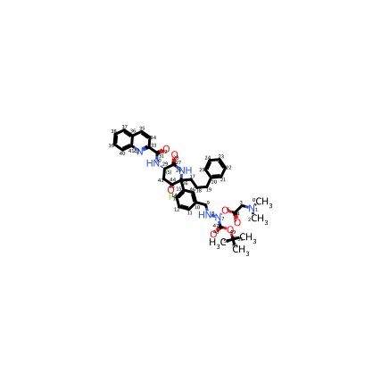 CN(C)CC(=O)ON(NCc1ccc(F)c(C2(CCCc3ccccc3)NC(=O)[C@@H](NC(=O)c3ccc4ccccc4n3)CC2=O)c1)C(=O)OC(C)(C)C